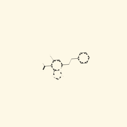 Cl.O=C(O)c1c(Cl)cc(CCc2ccccc2)n2ncnc12